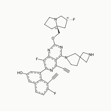 C#Cc1c(F)ccc2cc(O)cc(-c3nc(C#C)c4c(N5CCC6(CNC6)C5)nc(OC[C@@]56CCCN5C[C@H](F)C6)nc4c3F)c12